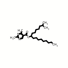 CCCCCCCCCC(CCCCCC(C)C)OC(=O)c1cnc(C)nc1C